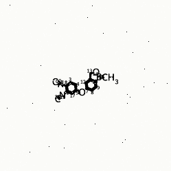 [C-]#[N+]c1ccc(Oc2ccc3c(c2)COB3C)cc1[N+]#[C-]